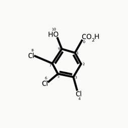 O=C(O)c1cc(Cl)c(Cl)c(Cl)c1O